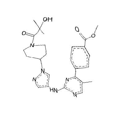 COC(=O)c1ccc(-c2nc(Nc3cnn(C4CCN(C(=O)C(C)(C)O)CC4)c3)ncc2C)cc1